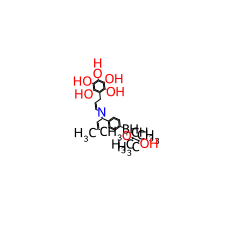 CC(C)=C/C(=N\C=C/Cc1c(O)c(O)c(O)c(O)c1O)c1ccc(BOC(C)(C)C(C)(C)O)cc1